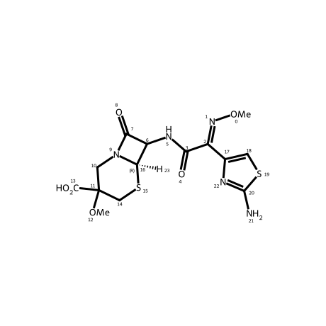 CON=C(C(=O)NC1C(=O)N2CC(OC)(C(=O)O)CS[C@H]12)c1csc(N)n1